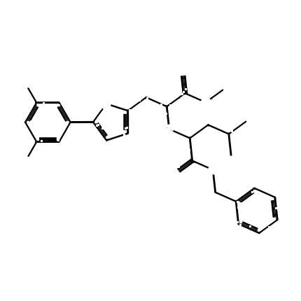 COC(=O)C(Cc1ccc(-c2cc(F)cc(F)c2)o1)NC(CC(C)C)C(=O)OCc1ccccc1